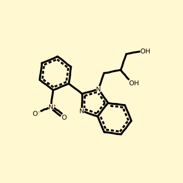 O=[N+]([O-])c1ccccc1-c1nc2ccccc2n1CC(O)CO